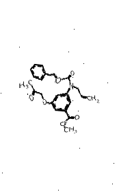 C=CCN(C(=O)OCc1ccccc1)c1cc(OCC(C)=O)cc(C(=O)OC)c1